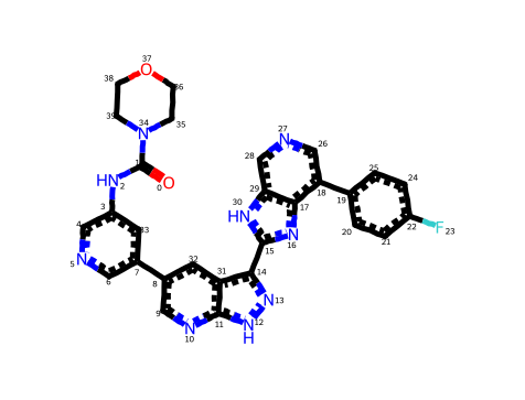 O=C(Nc1cncc(-c2cnc3[nH]nc(-c4nc5c(-c6ccc(F)cc6)cncc5[nH]4)c3c2)c1)N1CCOCC1